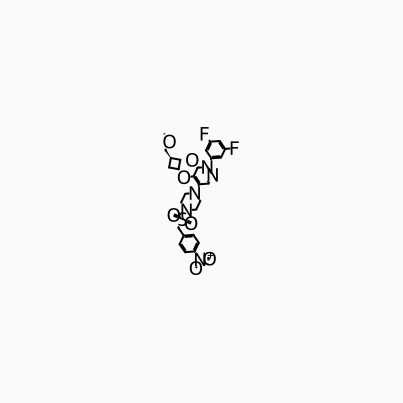 COC[C@H]1C[C@@H](Oc2c(N3CCN(S(=O)(=O)Cc4ccc([N+](=O)[O-])cc4)CC3)cnn(-c3cc(F)cc(F)c3)c2=O)C1